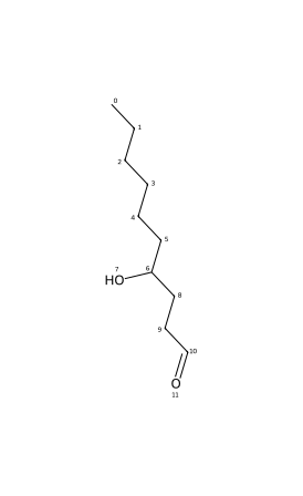 CCCCCCC(O)CCC=O